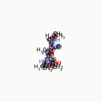 CC(C)C[C@@H](NC(=O)[C@@H](Cc1ccccc1)NC(=O)N(CCNC(=O)OC(C)(C)C)Cc1ccccc1)C(=O)N[C@H](CCCCNC(=O)OC(C)(C)C)C(=O)N1CCC(CC(=O)O)(NC(=O)OC(C)(C)C)CC1